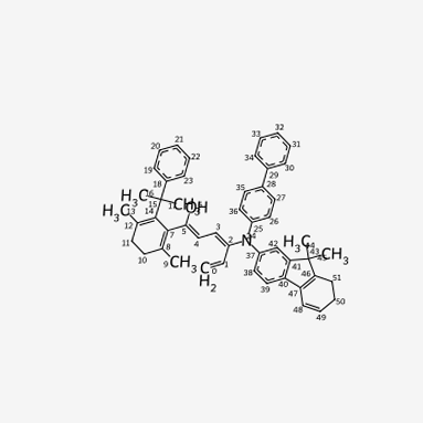 C=C/C(=C\C=C(/O)C1=C(C)CCC(C)=C1C(C)(C)c1ccccc1)N(c1ccc(-c2ccccc2)cc1)c1ccc2c(c1)C(C)(C)C1=C2C=CCC1